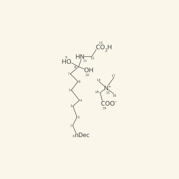 CCCCCCCCCCCCCCCCCC(O)(O)NCC(=O)O.C[N+](C)(C)CC(=O)[O-]